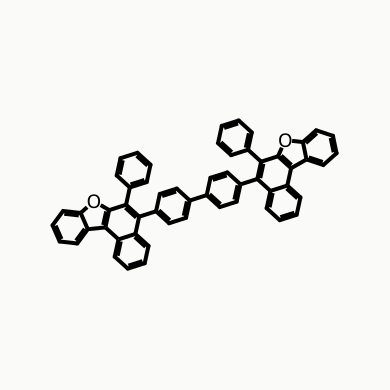 c1ccc(-c2c(-c3ccc(-c4ccc(-c5c(-c6ccccc6)c6oc7ccccc7c6c6ccccc56)cc4)cc3)c3ccccc3c3c2oc2ccccc23)cc1